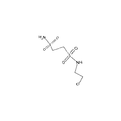 NS(=O)(=O)CCS(=O)(=O)NCCCl